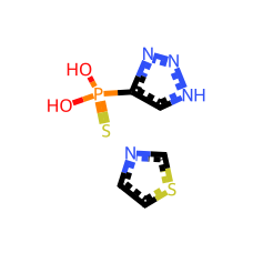 OP(O)(=S)c1c[nH]nn1.c1cscn1